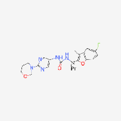 Cc1c([C@H](NC(=O)Nc2cnc(N3CCCOC3)nc2)C(C)C)oc2ccc(F)cc12